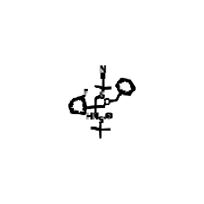 CC(C)(C#N)SCC(COCc1ccccc1)(N[S+]([O-])C(C)(C)C)c1ccccc1F